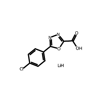 O=C(O)c1nnc(-c2ccc(Cl)cc2)o1.[LiH]